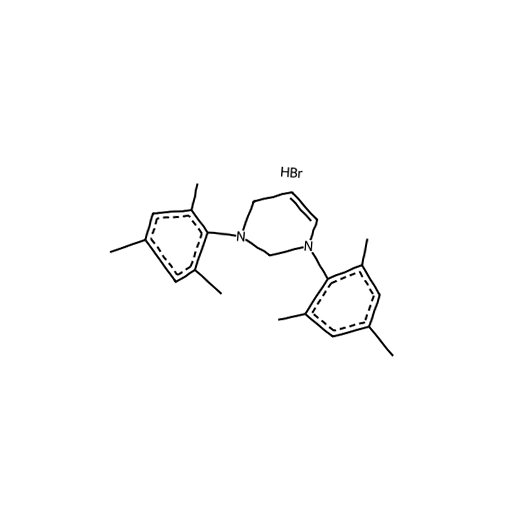 Br.Cc1cc(C)c(N2C=CCN(c3c(C)cc(C)cc3C)C2)c(C)c1